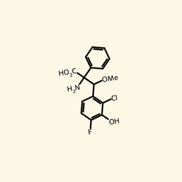 COC(c1ccc(F)c(O)c1Cl)C(N)(C(=O)O)c1ccccc1